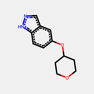 c1cc2[nH]ncc2cc1OC1CCOCC1